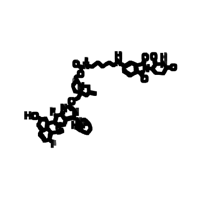 C#Cc1c(F)ccc2cc(O)cc(-c3ncc4c(N5CC6CCC(C5)N6)nc(OCC56CC[C@@H](COC(=O)N(C)CCCCCNc7ccc8c(c7)C(=O)N(C7CCC(=O)NC7=O)C8=O)N5CC(=C)C6)nc4c3F)c12